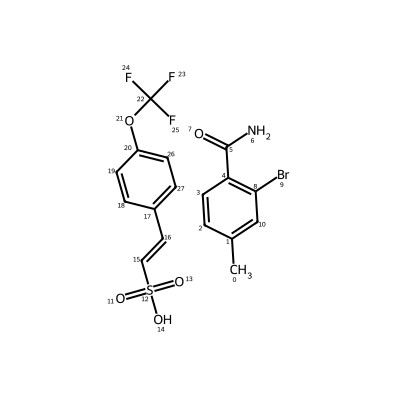 Cc1ccc(C(N)=O)c(Br)c1.O=S(=O)(O)/C=C/c1ccc(OC(F)(F)F)cc1